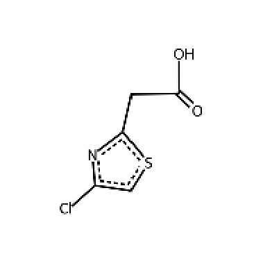 O=C(O)Cc1nc(Cl)cs1